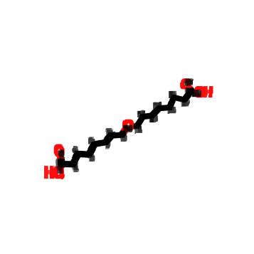 O=C(O)CCCCCCCOCCCCCCCC(=O)O